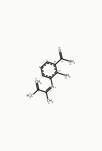 C=C(C)/C(C)=N\c1cccc(C(N)=O)c1N